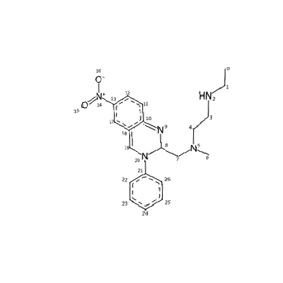 CCNCCN(C)CC1N=c2ccc([N+](=O)[O-])cc2=CN1c1ccccc1